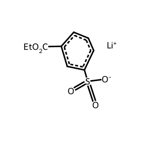 CCOC(=O)c1cccc(S(=O)(=O)[O-])c1.[Li+]